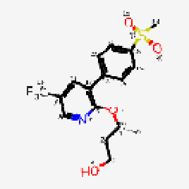 C[C@H](CCO)Oc1ncc(C(F)(F)F)cc1-c1ccc(S(C)(=O)=O)cc1